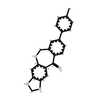 Cc1ccc(-c2ccc3c(c2)COc2cc4c(cc2C3=O)OCO4)cc1